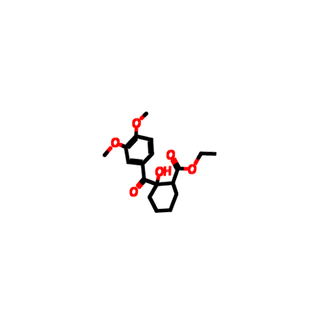 CCOC(=O)C1CCCCC1(O)C(=O)c1ccc(OC)c(OC)c1